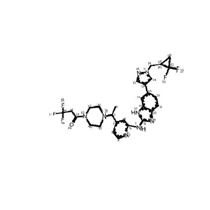 CC(c1ccnc(Nc2nc3ccc(-c4cnn(C[C@H]5CC5(F)F)c4)cc3[nH]2)c1)N1CCN(C(=O)CC(F)(F)F)CC1